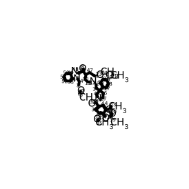 CCOCCn1c(C(=O)C2CCN(CCC3(c4ccc(OC)c(OC)c4)CCN(C(=O)c4cc(OC)c(OC(C)=O)c(OC)c4)C3)CC2)nc2ccccc21